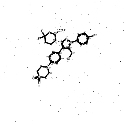 O=C(O)[C@@H]1CC(F)(F)CC[C@H]1c1nn(-c2ccc(F)cc2)c(CO)c1-c1ccc(N2CCS(=O)(=O)CC2)cc1